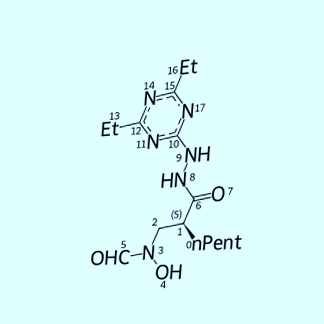 CCCCC[C@@H](CN(O)C=O)C(=O)NNc1nc(CC)nc(CC)n1